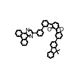 CC1(C)c2ccccc2-c2ccc(-c3ccc4oc5ccc6c7cccc(-c8cccc(-c9cnc%10c%11ccccc%11c%11ccccc%11c%10n9)c8)c7oc6c5c4c3)cc21